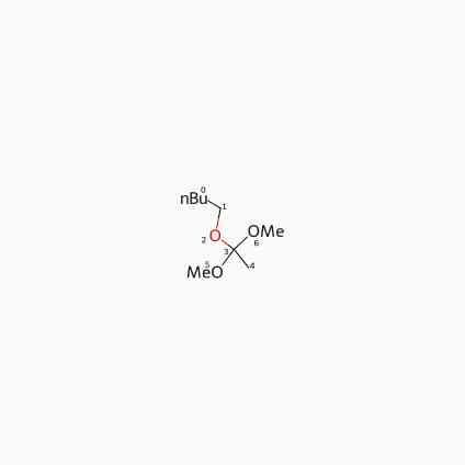 CCCCCOC(C)(OC)OC